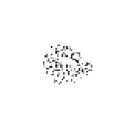 CC(C)(C)CC(C)(OO)c1ccccc1.CC(C)(C)OOC(C)(C)c1ccccc1C(C)(C)OOC(C)(C)C